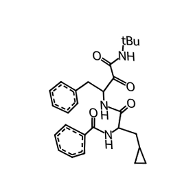 CC(C)(C)NC(=O)C(=O)C(Cc1ccccc1)NC(=O)C(CC1CC1)NC(=O)c1ccccc1